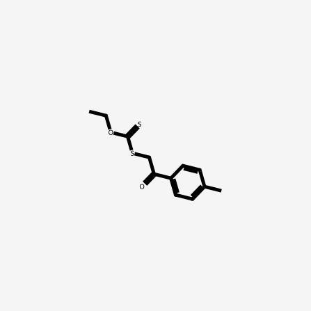 CCOC(=S)SCC(=O)c1ccc(C)cc1